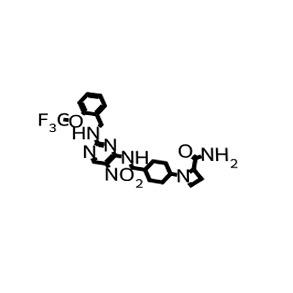 NC(=O)C1CCN1C1CCC(CNc2nc(NCc3ccccc3OC(F)(F)F)ncc2[N+](=O)[O-])CC1